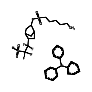 CCCCCCS(=O)(=O)OC1CC2CC1CC2C(F)(F)C(F)(F)S(=O)(=O)[O-].c1ccc([S+](c2ccccc2)c2ccccc2)cc1